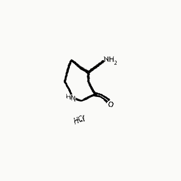 Cl.NC1CCNC1=O